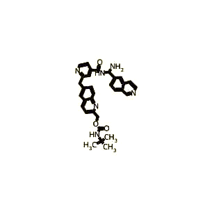 CC(C)(C)NC(=O)OCc1ccc2cc(Cc3cc(C(=O)NC(N)c4ccc5cnccc5c4)ccn3)ccc2n1